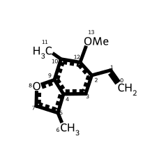 C=Cc1cc2c(C)coc2c(C)c1OC